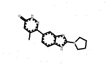 Cc1cc(=O)[nH]nc1-c1ccc2[nH]c(N3CCCC3)nc2c1